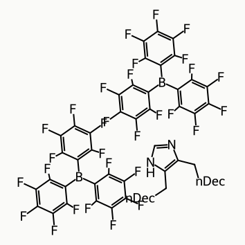 CCCCCCCCCCCc1nc[nH]c1CCCCCCCCCCC.Fc1c(F)c(F)c(B(c2c(F)c(F)c(F)c(F)c2F)c2c(F)c(F)c(F)c(F)c2F)c(F)c1F.Fc1c(F)c(F)c(B(c2c(F)c(F)c(F)c(F)c2F)c2c(F)c(F)c(F)c(F)c2F)c(F)c1F